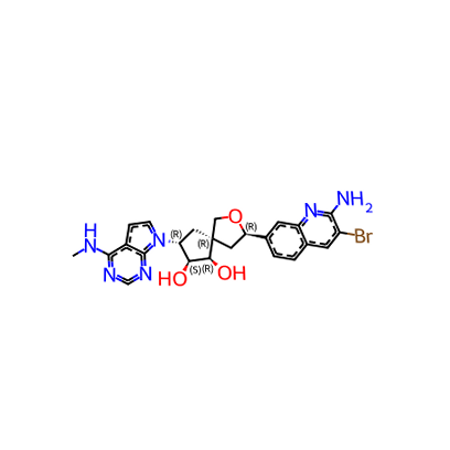 CNc1ncnc2c1ccn2[C@@H]1C[C@@]2(CO[C@@H](c3ccc4cc(Br)c(N)nc4c3)C2)[C@@H](O)[C@H]1O